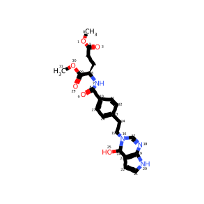 COC(=O)CC[C@@H](NC(=O)c1ccc(CCN2C=Nc3[nH]ccc3C2O)cc1)C(=O)OC